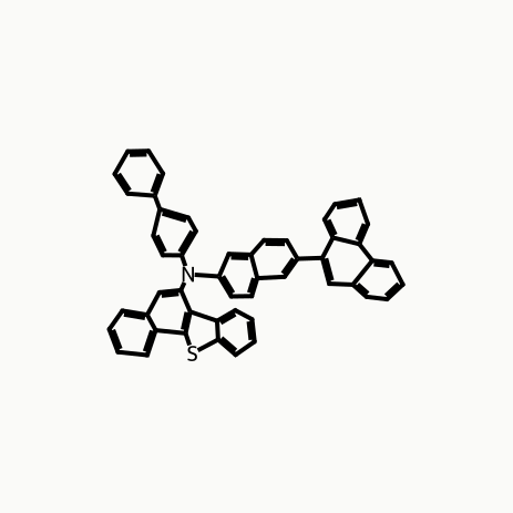 c1ccc(-c2ccc(N(c3ccc4cc(-c5cc6ccccc6c6ccccc56)ccc4c3)c3cc4ccccc4c4sc5ccccc5c34)cc2)cc1